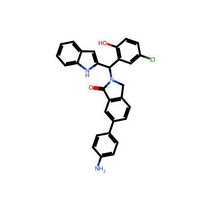 Nc1ccc(-c2ccc3c(c2)C(=O)N(C(c2cc4ccccc4[nH]2)c2cc(Cl)ccc2O)C3)cc1